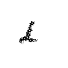 Cc1c(NS(C)(=O)=O)cccc1N(Cc1ccc(C#N)cc1)Cc1ccc(Oc2cccc(OCCc3cccnc3)c2)cc1